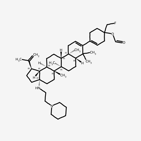 C=C(C)[C@@H]1CC[C@]2(NCCN3CCCCC3)CC[C@]3(C)[C@H](CC[C@@H]4[C@@]5(C)CC=C(C6=CCC(CF)(OC=O)CC6)C(C)(C)[C@@H]5CC[C@]43C)[C@@H]12